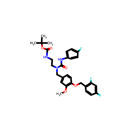 COc1cc(CN(CCNC(=O)OC(C)(C)C)C(=O)Nc2ccc(F)cc2)ccc1OCc1ccc(F)cc1F